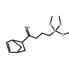 CO[Si](CCCC(=N)C1CC2C=CC1C2)(OC)OC